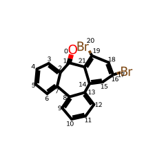 O=c1c2ccccc2c2ccccc2c2cc(Br)cc(Br)c12